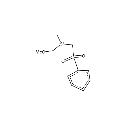 COC[S+](C)CS(=O)(=O)c1ccccc1